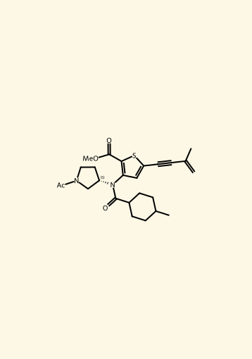 C=C(C)C#Cc1cc(N(C(=O)C2CCC(C)CC2)[C@H]2CCN(C(C)=O)C2)c(C(=O)OC)s1